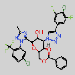 Cc1nc(C2OC3COC(c4ccccc4)O[C@@H]3C(n3cc(-c4cc(F)c(Cl)c(F)c4)nn3)C2O)n(-c2cc(Cl)ccc2C(F)(F)F)n1